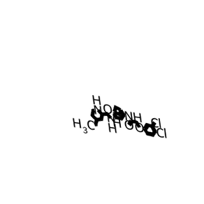 CCC1CCNC(C(=O)N[C@@H]2CC(NC(=O)COc3ccc(Cl)c(Cl)c3)C3CC2C3)C1